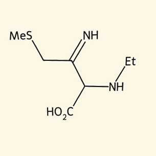 CCNC(C(=N)CSC)C(=O)O